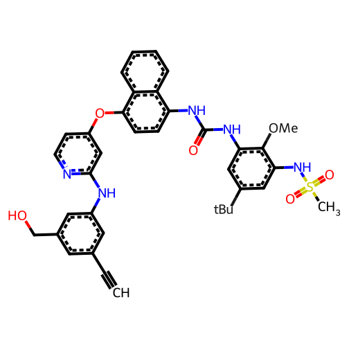 C#Cc1cc(CO)cc(Nc2cc(Oc3ccc(NC(=O)Nc4cc(C(C)(C)C)cc(NS(C)(=O)=O)c4OC)c4ccccc34)ccn2)c1